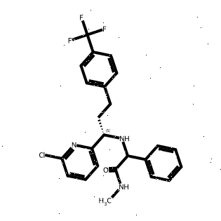 CNC(=O)C(N[C@@H](CCc1ccc(C(F)(F)F)cc1)c1cccc(Cl)n1)c1ccccc1